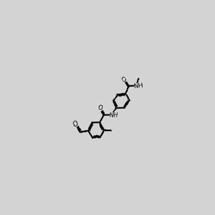 CNC(=O)c1ccc(NC(=O)c2cc(C=O)ccc2C)cc1